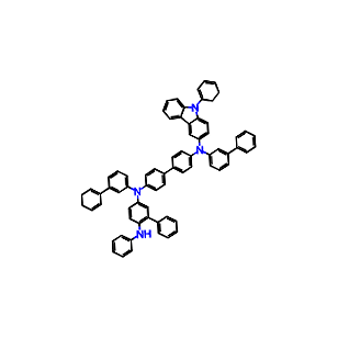 C1=CCCC(n2c3ccccc3c3cc(N(c4ccc(-c5ccc(N(c6cccc(C7=CCCC=C7)c6)c6ccc(Nc7ccccc7)c(-c7ccccc7)c6)cc5)cc4)c4cccc(-c5ccccc5)c4)ccc32)=C1